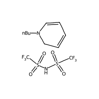 CCCCN1C=CC=CC1.O=S(=O)(NS(=O)(=O)C(F)(F)F)C(F)(F)F